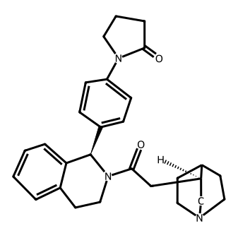 O=C1CCCN1c1ccc([C@@H]2c3ccccc3CCN2C(=O)C[C@@H]2CN3CCC2CC3)cc1